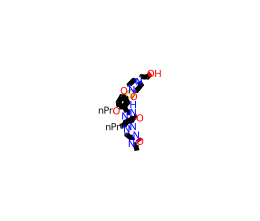 CCCOc1ccc(S(=O)(=O)N2CCN(CCO)CC2)cc1-c1nc2c(CCC)n(Cc3noc(C)n3)nc2c(=O)[nH]1